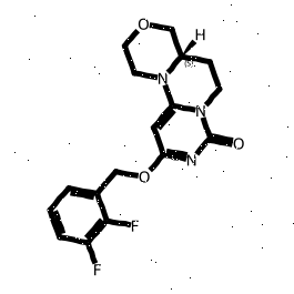 O=c1nc(OCc2cccc(F)c2F)cc2n1CC[C@H]1COCCN21